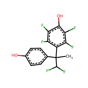 CC(c1ccc(O)cc1)(c1c(F)c(F)c(O)c(F)c1F)C(F)F